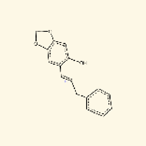 Oc1cc2c(cc1/C=C/Cc1ccccc1)OCO2